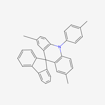 Cc1ccc(N2c3ccc(C)cc3C3(c4ccccc4-c4ccccc43)c3cc(C)ccc32)cc1